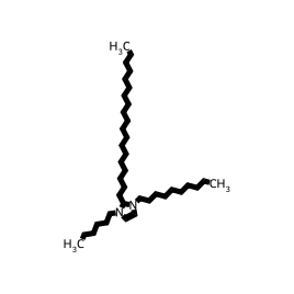 CCCCCCCCCCCCCCCCCCCC1N(CCCCCC)C=CN1CCCCCCCCCC